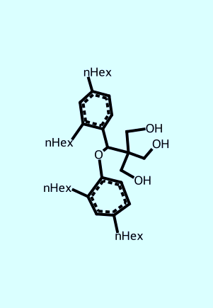 CCCCCCc1ccc(OC(c2ccc(CCCCCC)cc2CCCCCC)C(CO)(CO)CO)c(CCCCCC)c1